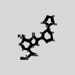 COC(=O)c1cnc(N)c2[nH]c(-c3cccc(-n4nccn4)c3)cc12